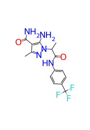 Cc1nn(C(C)C(=O)Nc2ccc(C(F)(F)F)cc2)c(N)c1C(N)=O